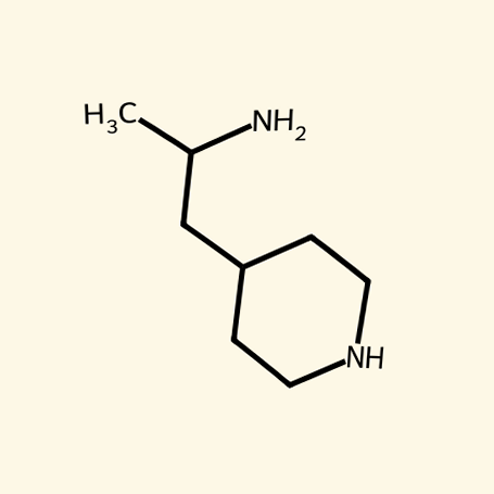 CC(N)CC1CCNCC1